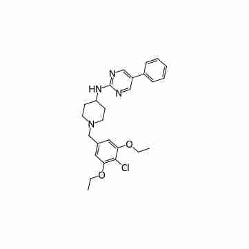 CCOc1cc(CN2CCC(Nc3ncc(-c4ccccc4)cn3)CC2)cc(OCC)c1Cl